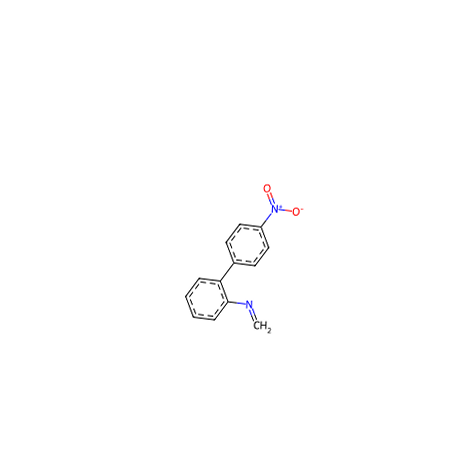 C=Nc1ccccc1-c1ccc([N+](=O)[O-])cc1